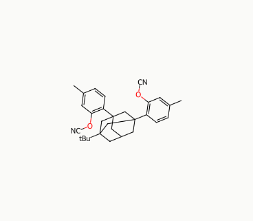 Cc1ccc(C23CC4CC(c5ccc(C)cc5OC#N)(C2)CC(C(C)(C)C)(C4)C3)c(OC#N)c1